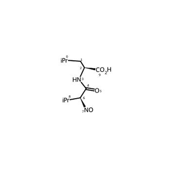 CC(C)C[C@H](NC(=O)[C@@H](N=O)C(C)C)C(=O)O